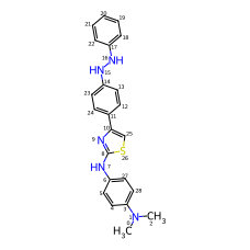 CN(C)c1ccc(Nc2nc(-c3ccc(NNc4ccccc4)cc3)cs2)cc1